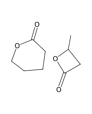 CC1CC(=O)O1.O=C1CCCCO1